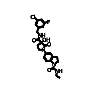 CCNC(=O)N1CCc2cc(N3CC[C@](O)(C(=O)NCc4cc(F)cc(Cl)c4)C3=O)ccc21